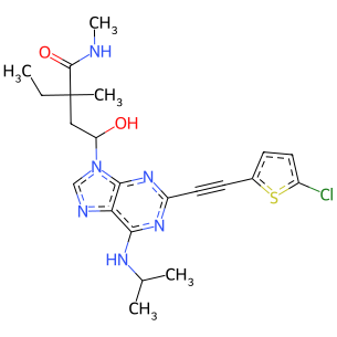 CCC(C)(CC(O)n1cnc2c(NC(C)C)nc(C#Cc3ccc(Cl)s3)nc21)C(=O)NC